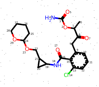 CC(OC(N)=O)C(=O)Cc1cccc(Cl)c1C(=O)NC1CC1COC1CCCCO1